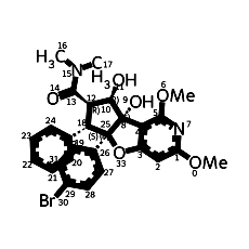 COc1cc2c(c(OC)n1)[C@]1(O)[C@H](O)[C@H](C(=O)N(C)C)[C@@H](c3ccccc3)[C@]1(c1ccc(Br)cc1)O2